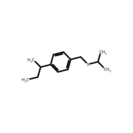 CCC(C)c1ccc(CSC(C)C)cc1